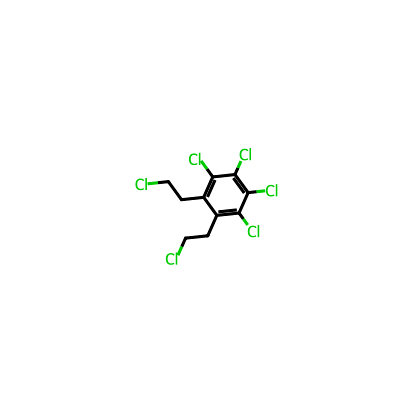 ClCCc1c(Cl)c(Cl)c(Cl)c(Cl)c1CCCl